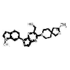 C[C@H]1CC2(CCN(c3nc4cnn(-c5ccc6ccn(C)c6c5)c4nc3CO)CC2)CO1